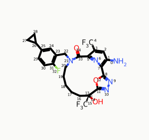 Nc1cc(C(F)(F)F)c2nc1-c1nnc(o1)[C@@](O)(C(F)(F)F)CCCCCN(Cc1cc(C3CC3)ccc1F)C2=O